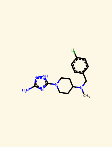 CN(Cc1ccc(Cl)cc1)C1CCN(c2nc(N)n[nH]2)CC1